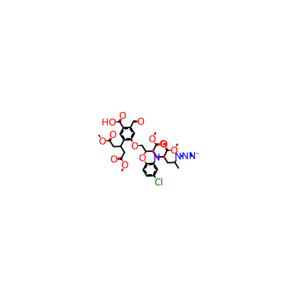 COC(=O)CC(CC(=O)OC)c1cc(C(=O)O)c(C=O)cc1OCC(CCCCC(C)N=[N+]=[N-])Oc1ccc(Cl)cc1N(CC(=O)OC)CC(=O)OC